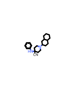 N#CC1(Nc2ccccc2)CCN(C2CCC3CCCCC3C2)CC1